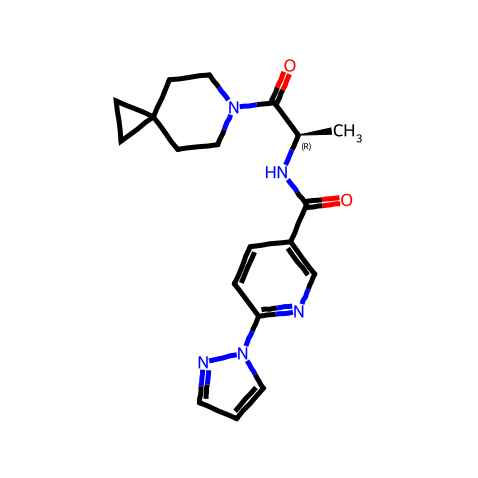 C[C@@H](NC(=O)c1ccc(-n2cccn2)nc1)C(=O)N1CCC2(CC1)CC2